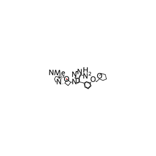 CNC(=O)[C@H]1CCCN1C[C@H]1C[C@H](n2cc(-c3cccc(OCC4CCCCO4)c3)c3c(N)ncnc32)C1